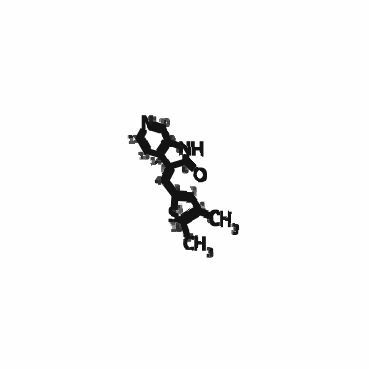 Cc1cc(C=C2C(=O)Nc3cnccc32)sc1C